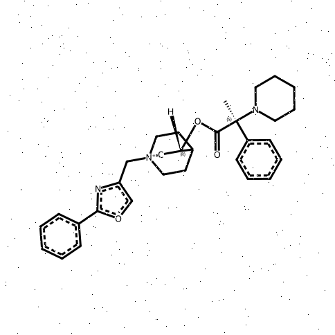 C[C@@](C(=O)O[C@H]1C[N+]2(Cc3coc(-c4ccccc4)n3)CCC1CC2)(c1ccccc1)N1CCCCC1